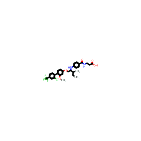 CCC(C)C(COc1ccc(-c2ccc(C(F)(F)F)cc2Cl)c(OC)c1)Nc1ccc(C(=O)NCCC(=O)O)cc1